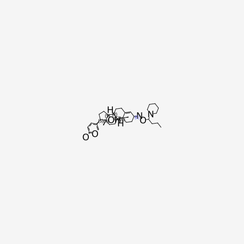 CCCC(O/N=C1/C=C2CC[C@@H]3[C@H](CC[C@]4(C)[C@@H](c5ccc(=O)oc5)CC[C@]34O)[C@@]2(C)CC1)N1CCCCC1